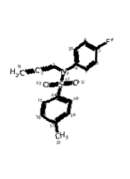 C=C=CN(c1ccc(F)cc1)S(=O)(=O)c1ccc(C)cc1